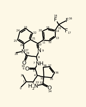 CC(C)CC(C(=O)NC1N=C(c2ccc(C(F)(F)F)cc2)c2ccccc2N(C)C1=O)C1(C(N)=O)CC=CC1